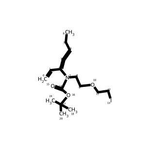 C=CC(=C=CCC)N(CCOCCI)C(=O)OC(C)(C)C